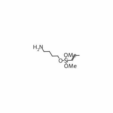 CC=C[Si](OC)(OC)OCCCCN